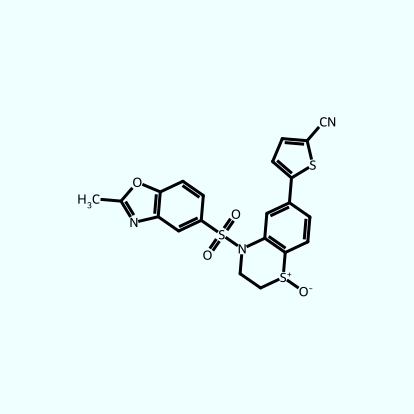 Cc1nc2cc(S(=O)(=O)N3CC[S+]([O-])c4ccc(-c5ccc(C#N)s5)cc43)ccc2o1